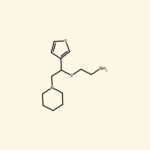 NCCSC(CN1CCCCC1)c1ccsc1